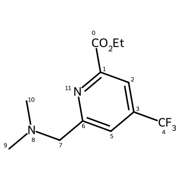 CCOC(=O)c1cc(C(F)(F)F)cc(CN(C)C)n1